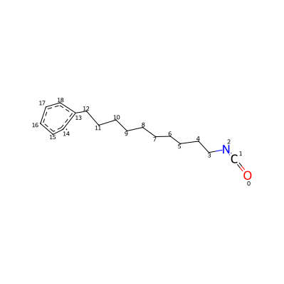 O=C=NCCCCCCCCCCc1[c]cccc1